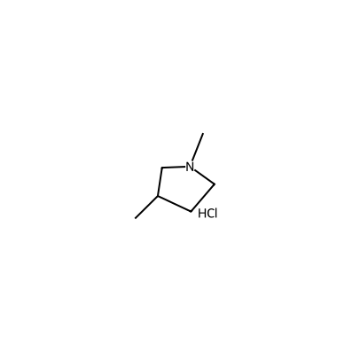 CC1CCN(C)C1.Cl